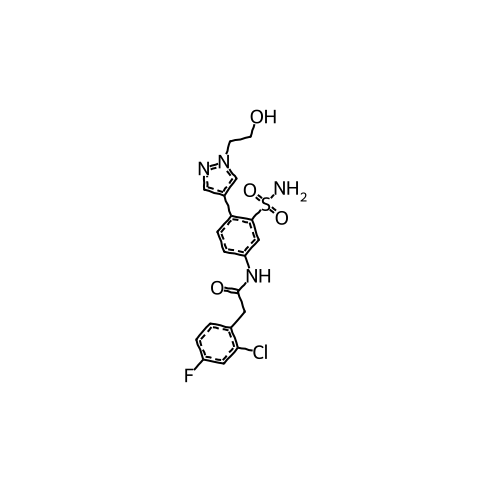 NS(=O)(=O)c1cc(NC(=O)Cc2ccc(F)cc2Cl)ccc1-c1cnn(CCO)c1